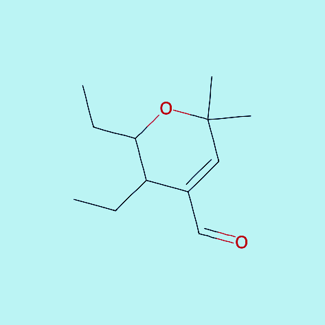 CCC1OC(C)(C)C=C(C=O)C1CC